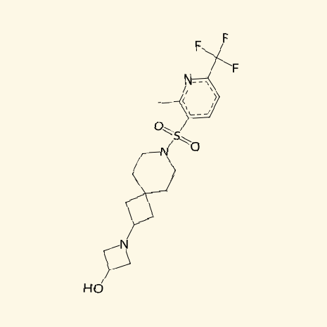 Cc1nc(C(F)(F)F)ccc1S(=O)(=O)N1CCC2(CC1)CC(N1CC(O)C1)C2